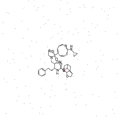 CC(C)CN(C[C@@H](O)[C@H](CCc1ccccc1)NC(=O)OC1C2COC3OCC1C3C2)S(=O)(=O)c1cccnc(NC2CC2)scc1